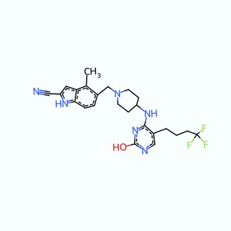 Cc1c(CN2CCC(Nc3nc(O)ncc3CCCC(F)(F)F)CC2)ccc2[nH]c(C#N)cc12